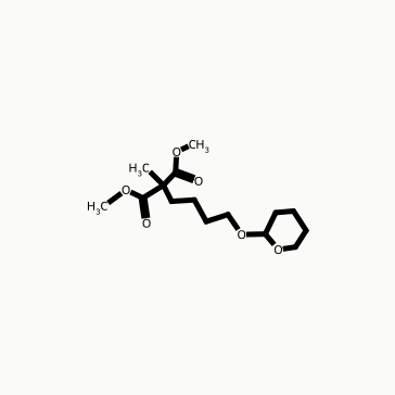 COC(=O)C(C)(CCCCOC1CCCCO1)C(=O)OC